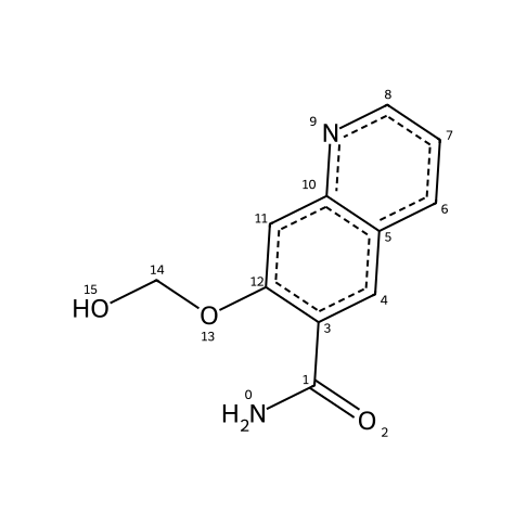 NC(=O)c1cc2cccnc2cc1OCO